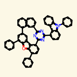 c1ccc(-c2cc(-c3ccccc3)c3oc4c(-c5ccccc5)ccc(-c5nc(-c6ccccc6)nc(-c6cccc7c6c6ccccc6n7-c6ccccc6)n5)c4c3c2)cc1